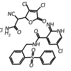 Cl.N#CC(C(N)=O)C1OC(=O)C(Cl)=C1Cl.N=c1[nH]cc(Cl)cc1C(=O)NCc1ccccc1S(=O)(=O)c1ccccc1